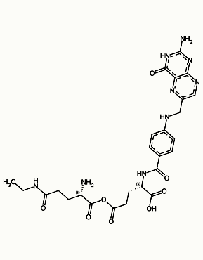 CCNC(=O)CC[C@H](N)C(=O)OC(=O)CC[C@H](NC(=O)c1ccc(NCc2cnc3nc(N)[nH]c(=O)c3n2)cc1)C(=O)O